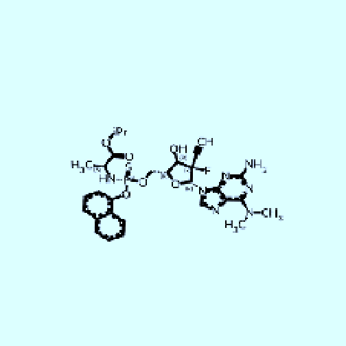 C#C[C@@]1(F)[C@H](O)[C@@H](CO[P@@](=S)(N[C@@H](C)C(=O)OC(C)C)Oc2cccc3ccccc23)O[C@H]1n1cnc2c(N(C)C)nc(N)nc21